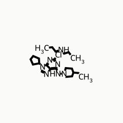 CCC1CCN(Nc2nc(Cl)nc3c2ncn3C2CCCC2)CC1.CCCNCCC